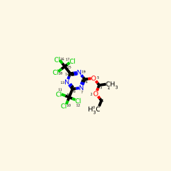 CCOC(C)Oc1nc(C(Cl)(Cl)Cl)nc(C(Cl)(Cl)Cl)n1